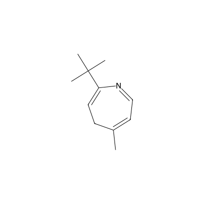 CC1=CC=NC(C(C)(C)C)=CC1